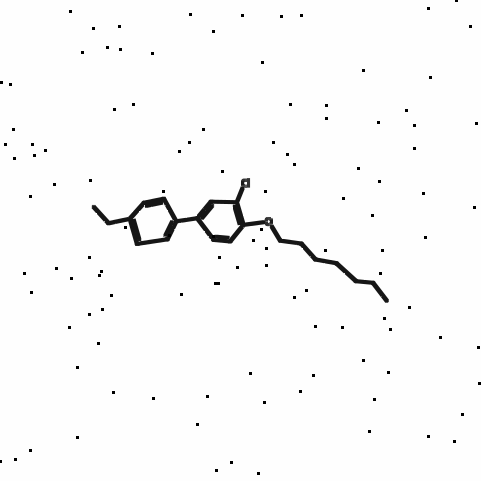 CCCCCCCOc1ccc(-c2ccc(CC)cc2)cc1Cl